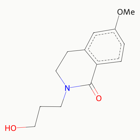 COc1ccc2c(c1)CCN(CCCO)C2=O